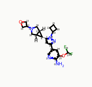 Nc1ncc(-c2cc([C@@H]3[C@@H]4CN(C5COC5)C[C@@H]43)n(C3CCC3)n2)cc1OC(F)F